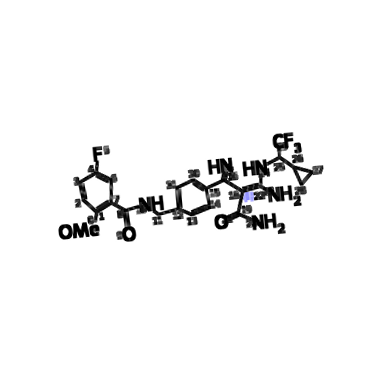 COc1ccc(F)cc1C(=O)NCc1ccc(C(=N)/C(C(N)=O)=C(/N)NC(C2CC2)C(F)(F)F)cc1